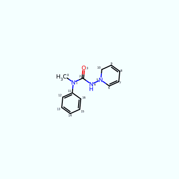 CN(C(=O)NN1C=CC=CC1)c1ccccc1